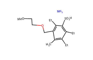 CCc1c(C)c(COCCOC)c(CC)c(S(=O)(=O)O)c1CC.N